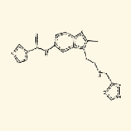 Cc1sc2ccc(NC(=O)c3ccoc3)cc2c1CCNCc1nnco1